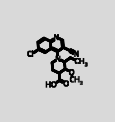 CCC1C(OC)C(C(=O)O)CCN1c1c(C#N)cnc2ccc(Cl)cc12